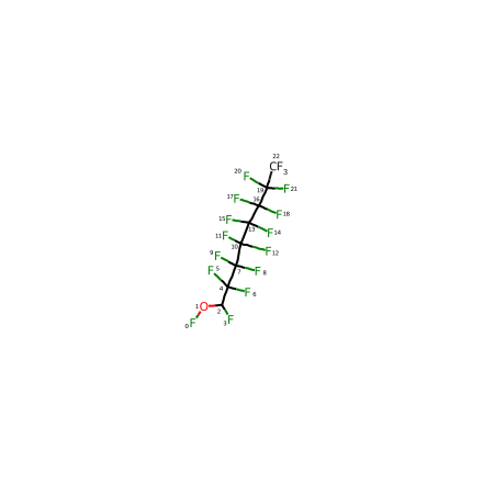 FOC(F)C(F)(F)C(F)(F)C(F)(F)C(F)(F)C(F)(F)C(F)(F)C(F)(F)F